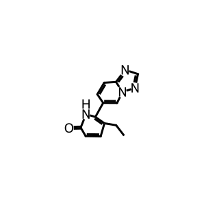 CCc1ccc(=O)[nH]c1-c1ccc2ncnn2c1